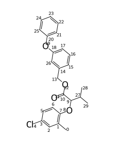 Cc1cc(Cl)ccc1OC(C(=O)OCc1cccc(Oc2ccccc2)c1)C(C)C